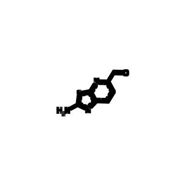 Nc1nc2ccc(C=O)nc2s1